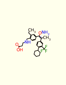 CCc1cc(/C(ON)=C(/C)c2ccc(C3CCCCC3)c(C(F)(F)F)c2)ccc1CNCCC(=O)O